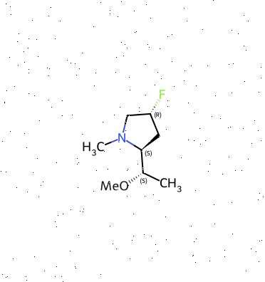 CO[C@@H](C)[C@@H]1C[C@@H](F)CN1C